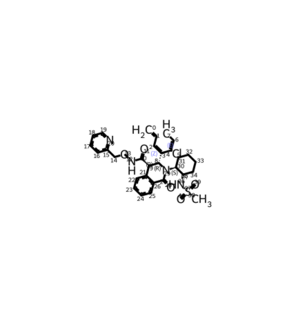 C=C/C=C(\C(Cl)=C/C)[C@H]1[C@H](C(=O)NOCc2ccccn2)c2ccccc2C(=O)N1[C@H]1CCCC[C@@H]1NS(C)(=O)=O